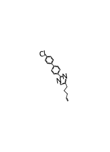 C=CCCCc1cnc(-c2ccc(-c3ccc(Cl)cc3)cc2)nc1